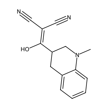 CN1CC(C(O)=C(C#N)C#N)Cc2ccccc21